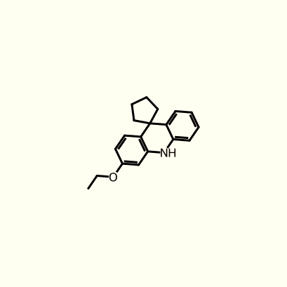 CCOc1ccc2c(c1)Nc1ccccc1C21CCCC1